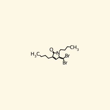 CCCCC1=CC(=C(Br)Br)N(CCCC)C1=O